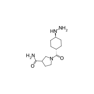 NN[C@H]1CC[C@H](C(=O)N2CCC(C(N)=O)C2)CC1